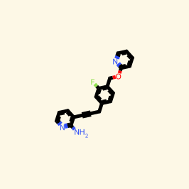 Nc1ncccc1C#CCc1ccc(COc2ccccn2)c(F)c1